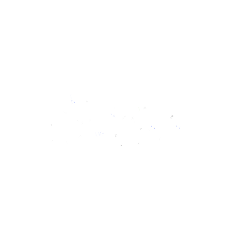 CN1CCN(c2c(F)cc3[nH]c(-c4c5cccccc-5[nH]c4=O)nc3c2F)CC1